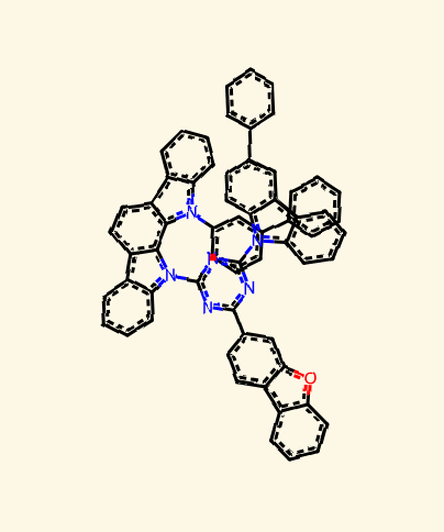 c1ccc(-c2cccc(-n3c4ccccc4c4ccc5c6ccccc6n(-c6nc(-c7ccc8c(c7)oc7ccccc78)nc(-n7c8ccccc8c8cc(-c9ccccc9)ccc87)n6)c5c43)c2)cc1